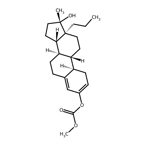 CCC[C@]12CC[C@H]3[C@@H](CCC4=CC(OC(=O)OC)=CC[C@@H]43)[C@@H]1CC[C@]2(C)O